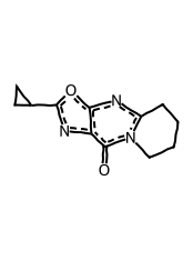 O=c1c2nc(C3CC3)oc2nc2n1CCCC2